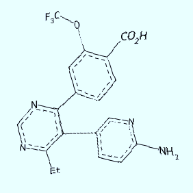 CCc1ncnc(-c2ccc(C(=O)O)c(OC(F)(F)F)c2)c1-c1ccc(N)nc1